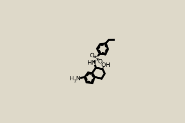 CCc1ccc(S(=O)(=O)NC2c3cc(N)ccc3CC[C@H]2O)cc1